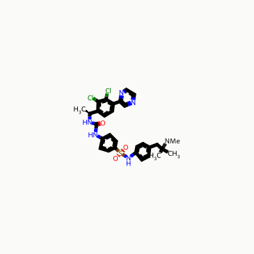 CNC(C)(C)Cc1ccc(NS(=O)(=O)c2ccc(NC(=O)N[C@@H](C)c3ccc(-c4cnccn4)c(Cl)c3Cl)cc2)cc1